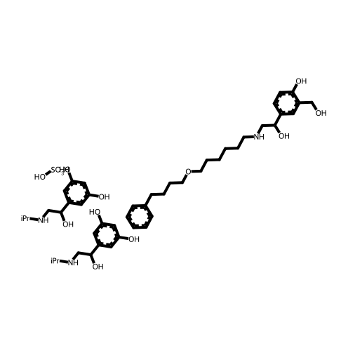 CC(C)NCC(O)c1cc(O)cc(O)c1.CC(C)NCC(O)c1cc(O)cc(O)c1.O=S(=O)(O)O.OCc1cc(C(O)CNCCCCCCOCCCCc2ccccc2)ccc1O